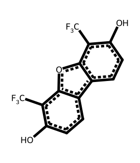 Oc1ccc2c(oc3c(C(F)(F)F)c(O)ccc32)c1C(F)(F)F